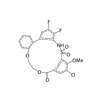 COc1c(Cl)cc2cc1S(=O)(=O)Nc1cc(cc(F)c1F)-c1ccccc1OCCOC2=O